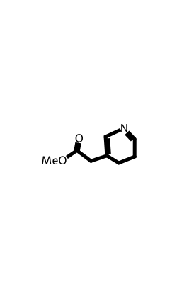 COC(=O)CC1=CN=CCC1